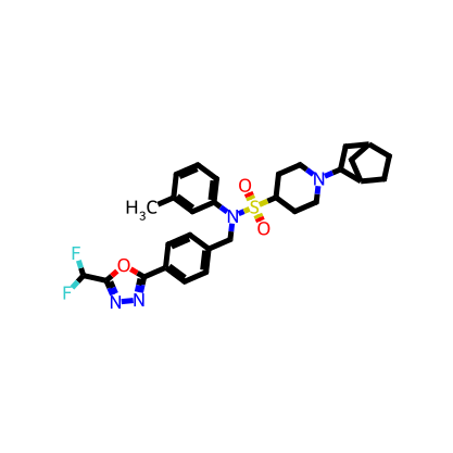 Cc1cccc(N(Cc2ccc(-c3nnc(C(F)F)o3)cc2)S(=O)(=O)C2CCN(C3CC4CCC3C4)CC2)c1